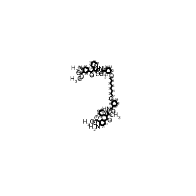 COC(=O)c1cc(C(=O)c2c(C)c(NC(=O)c3cccc(OCCCCCCCCOc4cccc(C(=O)Nc5c(C)c(C(=O)c6ccc(N)c(C(=O)OC)c6)c6ccccn56)c4)c3)n3ccccc23)ccc1N